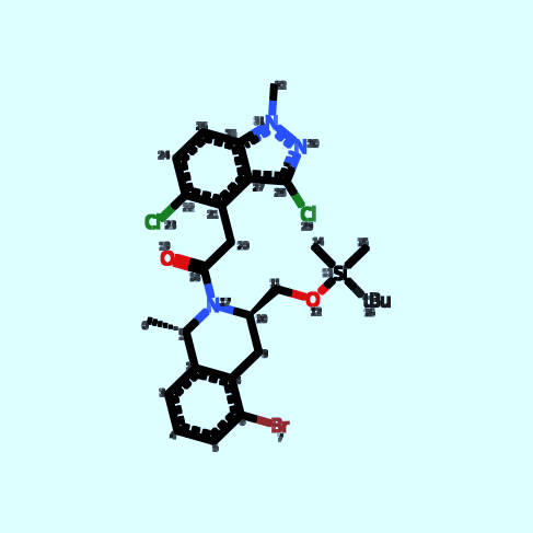 C[C@H]1c2cccc(Br)c2C[C@H](CO[Si](C)(C)C(C)(C)C)N1C(=O)Cc1c(Cl)ccc2c1c(Cl)nn2C